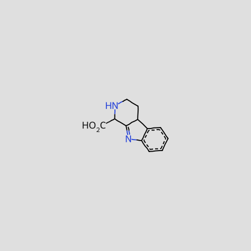 O=C(O)C1NCCC2C1=Nc1ccccc12